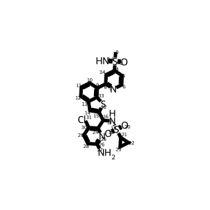 CS(=N)(=O)c1ccnc(-c2cccc3cc(C(NS(=O)(=O)C4CC4)c4nc(N)ccc4Cl)sc23)c1